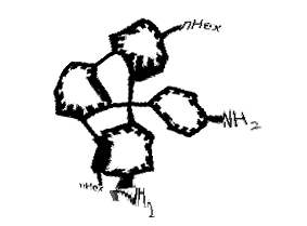 CCCCCCC#Cc1cccc2c1C(c1ccc(N)cc1)(c1ccc(N)cc1)c1cc(CCCCCC)ccc1-2